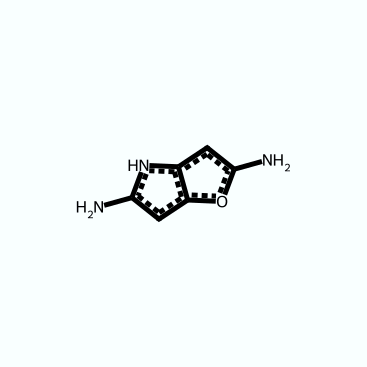 Nc1cc2oc(N)cc2[nH]1